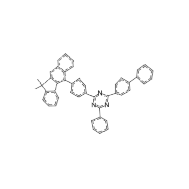 CC1(C)c2ccccc2-c2c1cc1ccccc1c2-c1ccc(-c2nc(-c3ccccc3)nc(-c3ccc(-c4ccccc4)cc3)n2)cc1